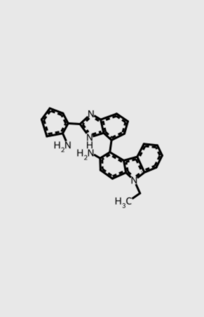 CCn1c2ccccc2c2c(-c3cccc4nc(-c5ccccc5N)[nH]c34)c(N)ccc21